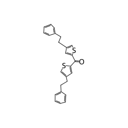 O=C(c1cc(CCc2ccccc2)cs1)c1cc(CCc2ccccc2)cs1